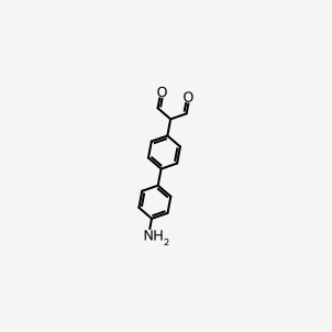 Nc1ccc(-c2ccc(C(C=O)C=O)cc2)cc1